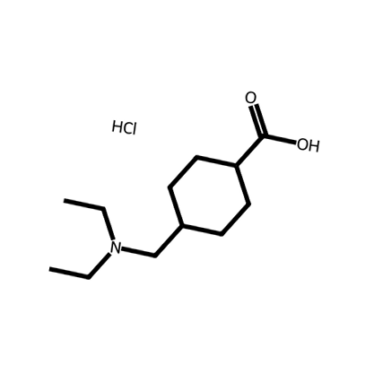 CCN(CC)CC1CCC(C(=O)O)CC1.Cl